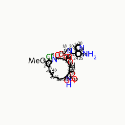 COc1cc2cc(c1Cl)N(C)C(=O)C[C@H](OC(=O)[C@H](C)N(C)C(=O)c1ccc(N)c3ncccc13)[C@@H]1O[C@H]1[C@H](C)[C@@H]1C[C@](O)(C/C=C/C=C(\C)C2)NC(=O)O1